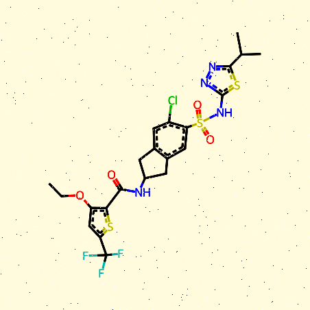 CCOc1cc(C(F)(F)F)sc1C(=O)NC1Cc2cc(Cl)c(S(=O)(=O)Nc3nnc(C(C)C)s3)cc2C1